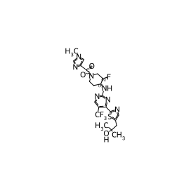 Cn1cnc(S(=O)(=O)N2CC[C@H](Nc3ncc(C(F)(F)F)c(-c4ncc(CC(C)(C)O)s4)n3)[C@H](F)C2)c1